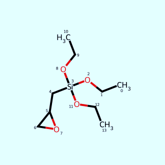 CCO[Si](CC1CO1)(OCC)OCC